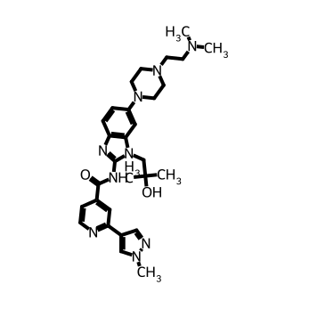 CN(C)CCN1CCN(c2ccc3nc(NC(=O)c4ccnc(-c5cnn(C)c5)c4)n(CC(C)(C)O)c3c2)CC1